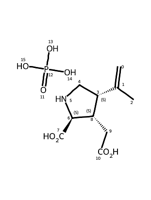 C=C(C)[C@H]1CN[C@H](C(=O)O)[C@H]1CC(=O)O.O=P(O)(O)O